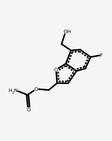 NC(=O)OCc1cc2cc(F)cc(CO)c2o1